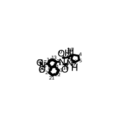 O=C1[C@@H]2[C@@H]3CC[C@@H](C3)N2C(=O)N1c1ccc([N+](=O)[O-])c2ccccc12